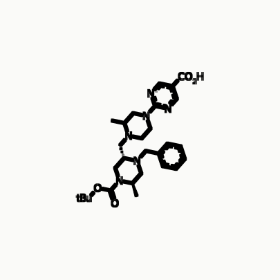 CC1CN(c2ncc(C(=O)O)cn2)CCN1C[C@H]1CN(C(=O)OC(C)(C)C)[C@H](C)CN1Cc1ccccc1